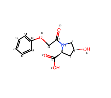 O=C(O)[C@@H]1C[C@@H](O)CN1C(=O)COc1ccccc1